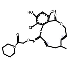 CC1/C=C/COC(=O)c2c(O)cc(O)c(Cl)c2CC(=NOCC(=O)N2CCCCC2)/C=C/C1